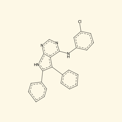 Clc1cccc(Nc2ncnc3[nH]c(-c4ccccc4)c(-c4ccccc4)c23)c1